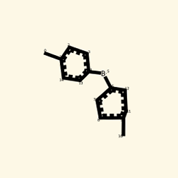 Cc1ccc([B]c2ccc(C)cc2)cc1